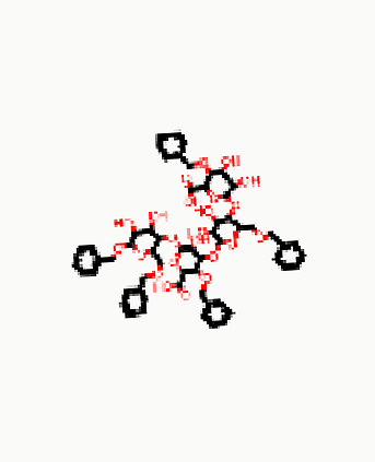 O=C(O)C1OC(OC2C(COCc3ccccc3)OC(OC3C(O)C(OC4C(COCc5ccccc5)OC(OCc5ccccc5)C(O)C4O)OC(C(=O)O)C3OCc3ccccc3)C(O)C2O)C(O)C(O)C1OCc1ccccc1